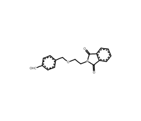 O=Cc1ccc(COCCN2C(=O)c3ccccc3C2=O)cc1